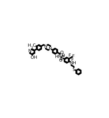 Cc1cc(CN2CCN(c3ccc(C(=O)NS(=O)(=O)c4ccc(NCCSc5ccccc5)c(C(F)(F)F)c4)cc3)CC2)ccc1-c1cncc(O)c1